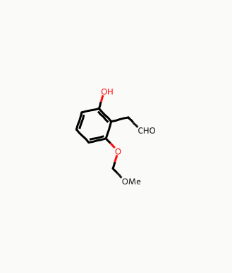 COCOc1cccc(O)c1CC=O